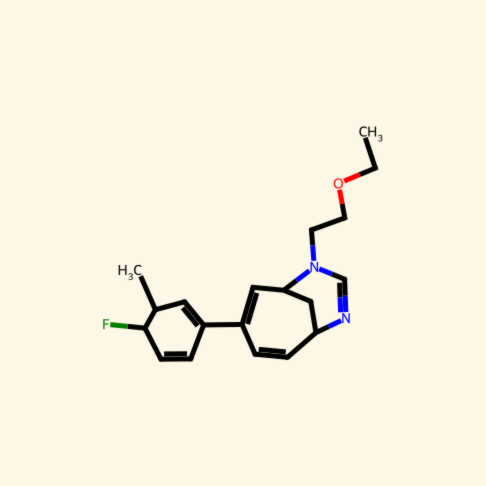 CCOCCN1C=NC2C=CC(C3=CC(C)C(F)C=C3)=CC1C2